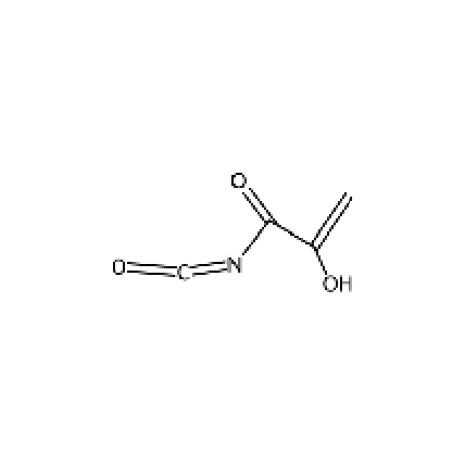 C=C(O)C(=O)N=C=O